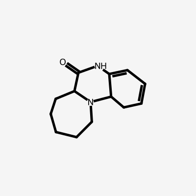 O=C1NC2=CC=CCC2N2CCCCCC12